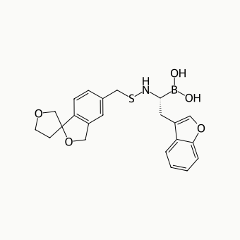 OB(O)[C@H](Cc1coc2ccccc12)NSCc1ccc2c(c1)COC21CCOC1